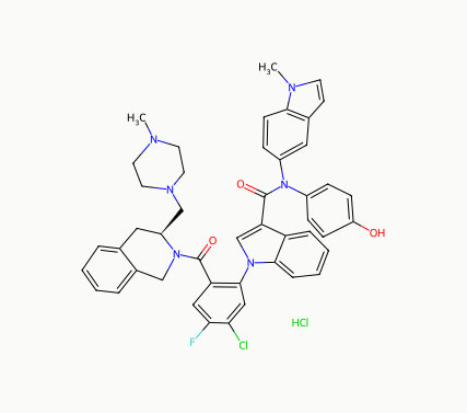 CN1CCN(C[C@@H]2Cc3ccccc3CN2C(=O)c2cc(F)c(Cl)cc2-n2cc(C(=O)N(c3ccc(O)cc3)c3ccc4c(ccn4C)c3)c3ccccc32)CC1.Cl